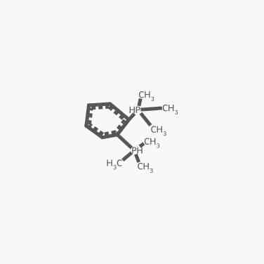 C[PH](C)(C)c1ccccc1[PH](C)(C)C